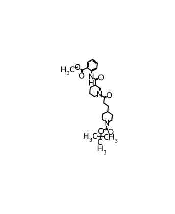 COC(=O)c1ccccc1NC(=O)C1CCCN(C(=O)CCC2CCN(C(=O)OC(C)(C)C)CC2)C1